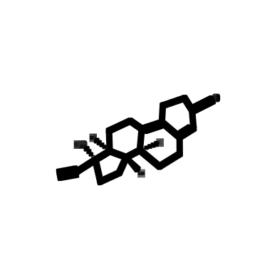 C#C[C@]1(O)CC[C@H]2[C@@H]3CCC4=CC(=O)CCC4=C3CC[C@@H]21